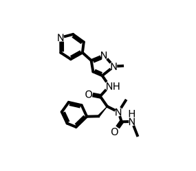 CNC(=O)N(C)[C@@H](Cc1ccccc1)C(=O)Nc1cc(-c2ccncc2)nn1C